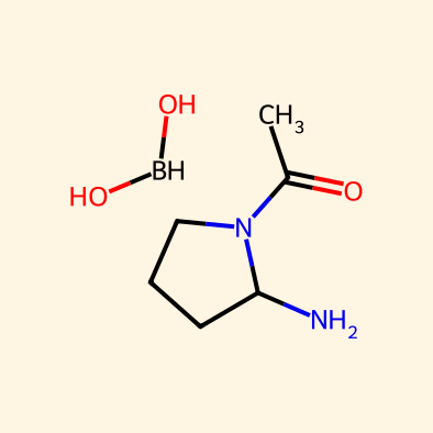 CC(=O)N1CCCC1N.OBO